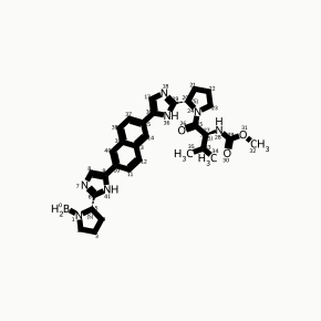 BN1CCC[C@H]1c1ncc(-c2ccc3cc(-c4cnc([C@@H]5CCCN5C(=O)[C@@H](NC(=O)OC)C(C)C)[nH]4)ccc3c2)[nH]1